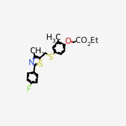 CCOC(=O)COc1ccc(SCc2sc(-c3ccc(F)cc3)nc2C)cc1C